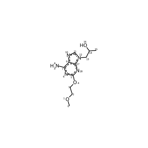 COCCOc1nc(N)c2ncn(CC(C)O)c2n1